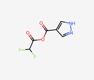 O=C(OC(=O)C(F)F)c1cn[nH]c1